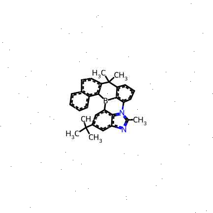 Cc1nc2cc(C(C)(C)C)cc3c2n1-c1cccc2c1B3c1c(ccc3ccccc13)C2(C)C